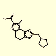 Cc1c(C(=O)O)oc2c1-c1nn(CC3CCOC3)cc1CC2